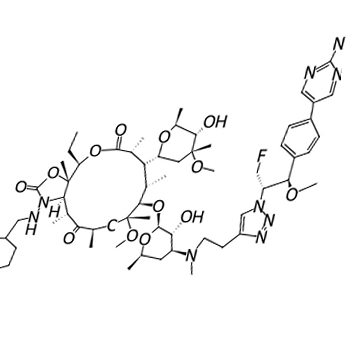 CC[C@H]1OC(=O)[C@H](C)C([C@H]2C[C@@](C)(OC)[C@@H](O)[C@H](C)O2)[C@H](C)[C@@H](O[C@@H]2O[C@H](C)C[C@H](N(C)CCc3cn([C@H](CF)[C@H](OC)c4ccc(-c5cnc(N)nc5)cc4)nn3)[C@H]2O)[C@](C)(OC)C[C@@H](C)C(=O)[C@H](C)[C@H]2N(NCC3CCN(c4ccccc4)CC3)C(=O)O[C@]12C